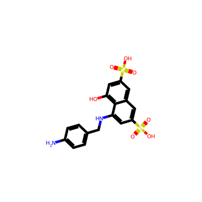 Nc1ccc(CNc2cc(S(=O)(=O)O)cc3cc(S(=O)(=O)O)cc(O)c23)cc1